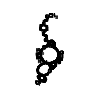 COCCN1CCN(CCOc2ccc3nc2OC[C@H]2CC[C@H]2CN2CCCCc4cc(Cl)ccc4COc4ccc(cc42)S(=O)(=O)NC(=O)C3)CC1